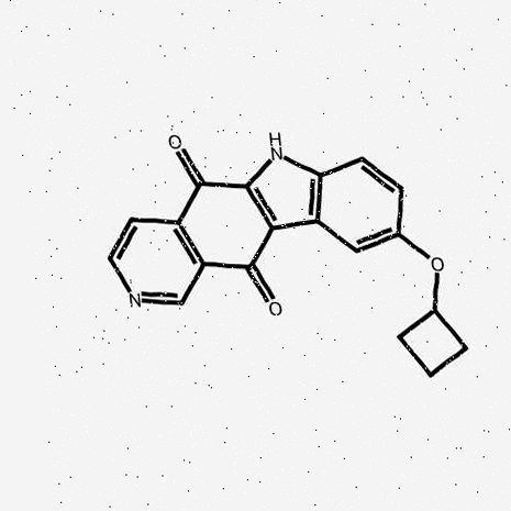 O=C1c2ccncc2C(=O)c2c1[nH]c1ccc(OC3CCC3)cc21